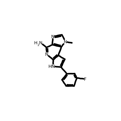 Cn1cnc2c(N)nc3[nH]c(-c4cccc(F)c4)cc3c21